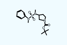 CN(c1ccccc1)S(=O)(=O)N(C)C1CCN(C(=O)OC(C)(C)C)C1